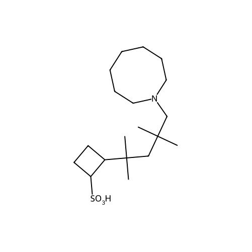 CC(C)(CN1CCCCCCC1)CC(C)(C)C1CCC1S(=O)(=O)O